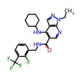 CCn1ncc2c(NC3CCCCC3)c(C(=O)NCc3cccc(C(F)(F)F)c3F)cnc21